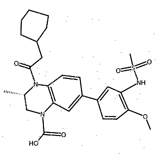 COc1ccc(-c2ccc3c(c2)N(C(=O)O)C[C@H](C)N3C(=O)CC2CCCCC2)cc1NS(C)(=O)=O